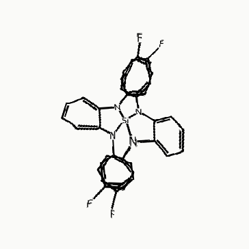 Fc1ccc(N2c3ccccc3N(c3ccc(F)cc3)[Si]23N(c2ccc(F)cc2)c2ccccc2N3c2ccc(F)cc2)cc1